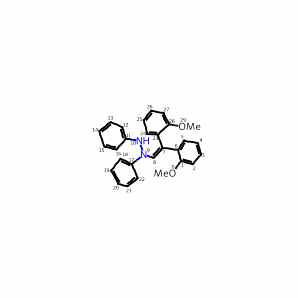 COc1ccccc1C(=CN(Nc1ccccc1)c1ccccc1)c1ccccc1OC